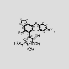 CCc1c([C@@H]2O[C@H](CO)[C@@H](O)[C@H](O)[C@H]2O)cc(Cc2ccc(C(F)(F)F)cc2)c2c1CCC2